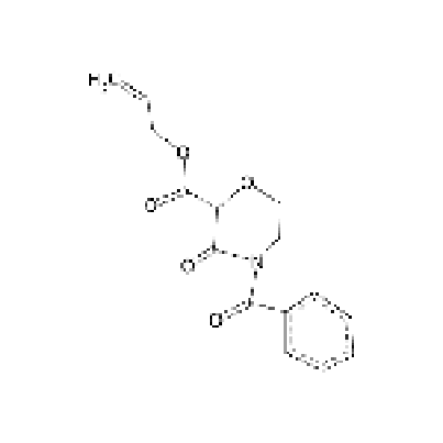 C=CCOC(=O)C1OCCN(C(=O)c2ccccc2)C1=O